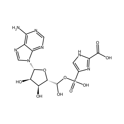 Nc1ncnc2c1ncn2[C@@H]1O[C@H](C(O)OP(=O)(O)c2c[nH]c(C(=O)O)n2)[C@@H](O)[C@H]1O